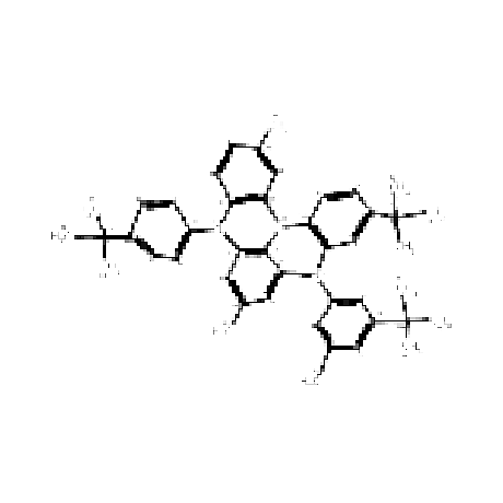 Cc1cc(N2c3cc(C(C)(C)C)ccc3B3c4cc(C)ccc4N(c4ccc(C(C)(C)C)cc4)c4cc(C)cc2c43)cc(C(C)(C)C)c1